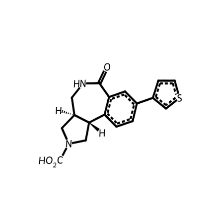 O=C1NC[C@@H]2CN(C(=O)O)C[C@H]2c2ccc(-c3ccsc3)cc21